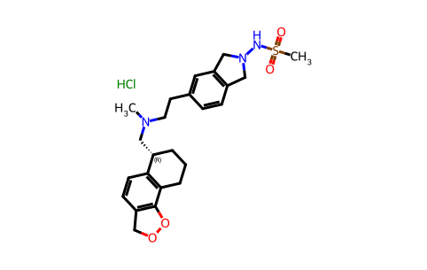 CN(CCc1ccc2c(c1)CN(NS(C)(=O)=O)C2)C[C@@H]1CCCc2c1ccc1c2OOC1.Cl